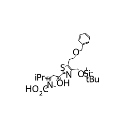 CC(C)[C@@H](C[C@@H](O)c1nc(CO[Si](C)(C)C(C)(C)C)c(CCOCc2ccccc2)s1)N(C)C(=O)O